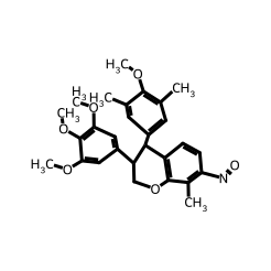 COc1cc(C2COc3c(ccc(N=O)c3C)C2c2cc(C)c(OC)c(C)c2)cc(OC)c1OC